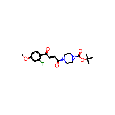 COc1ccc(C(=O)/C=C/C(=O)N2CCN(C(=O)OC(C)(C)C)CC2)c(F)c1